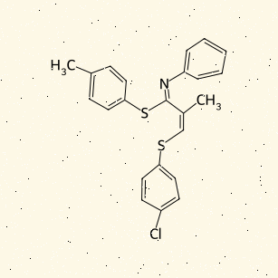 CC(=CSc1ccc(Cl)cc1)C(=Nc1ccccc1)Sc1ccc(C)cc1